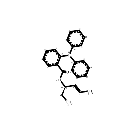 CC=C[C@@H](CC)OC(=O)c1ccccc1P(c1ccccc1)c1ccccc1